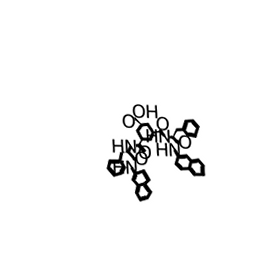 O=C(O)[C@H]1C[C@@H](C(=O)N[C@@H](Cc2ccccc2)C(=O)Nc2ccc3ccccc3c2)C[C@@H](C(=O)N[C@@H](Cc2ccccc2)C(=O)Nc2ccc3ccccc3c2)C1